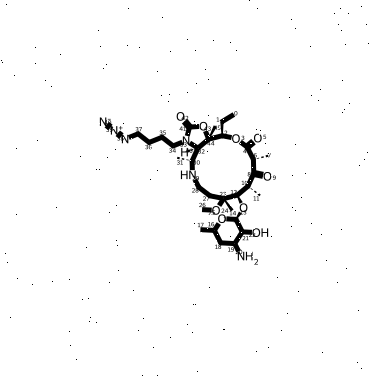 CC[C@H]1OC(=O)[C@H](C)C(=O)[C@H](C)[C@@H](O[C@@H]2OC(C)CC(N)C2O)[C@](C)(OC)CCN[C@H](C)[C@H]2N(CCCCN=[N+]=[N-])C(=O)O[C@]12C